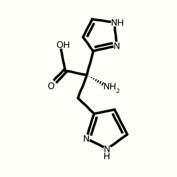 N[C@](Cc1cc[nH]n1)(C(=O)O)c1cc[nH]n1